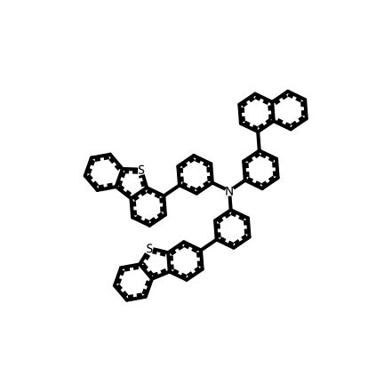 c1cc(-c2ccc3c(c2)sc2ccccc23)cc(N(c2cccc(-c3cccc4ccccc34)c2)c2cccc(-c3cccc4c3sc3ccccc34)c2)c1